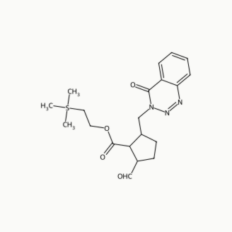 CS(C)(C)CCOC(=O)C1C(C=O)CCC1Cn1nnc2ccccc2c1=O